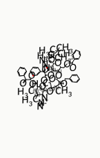 CC1OC(O[C@@H]2C(COC(=O)c3ccccc3)OC(O[Si](C)(C)C(C)(C)C)[C@@H](N=[N+]=[N-])[C@H]2OC(=O)C(=O)c2ccccc2)[C@@H](OCc2ccccc2)[C@@H](C)[C@@H]1O[C@@H]1OC(COC(=O)C(=O)c2ccccc2)[C@@H](C)[C@H](C)C1N=[N+]=[N-]